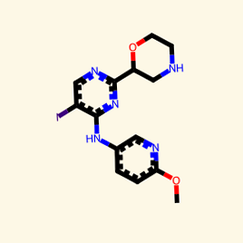 COc1ccc(Nc2nc(C3CNCCO3)ncc2I)cn1